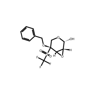 O=S(=O)(C(F)(F)F)[C@]1(OCc2ccccc2)CO[C@H](O)[C@@H]2O[C@@H]21